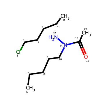 CCCCCCl.CCCCCN(N)C(C)=O